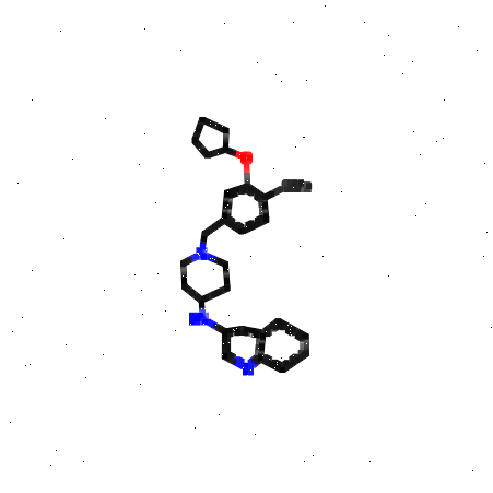 COc1ccc(CN2CCC(Nc3cnc4ccccc4c3)CC2)cc1OC1CCCC1